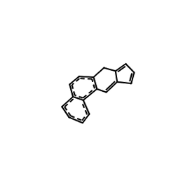 C1=CC2=Cc3c(ccc4ccccc34)CC2=C1